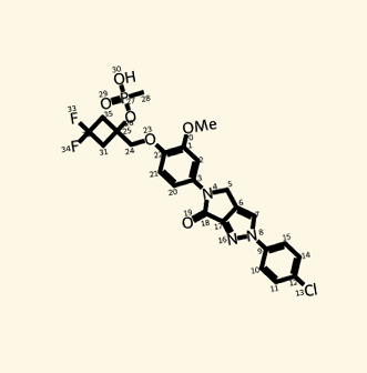 COc1cc(N2Cc3cn(-c4ccc(Cl)cc4)nc3C2=O)ccc1OCC1(OP(C)(=O)O)CC(F)(F)C1